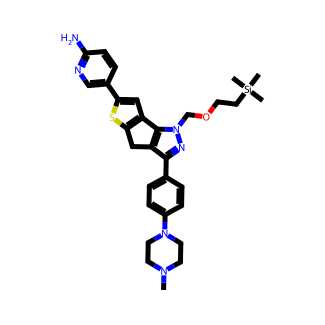 CN1CCN(c2ccc(-c3nn(COCC[Si](C)(C)C)c4c3Cc3sc(-c5ccc(N)nc5)cc3-4)cc2)CC1